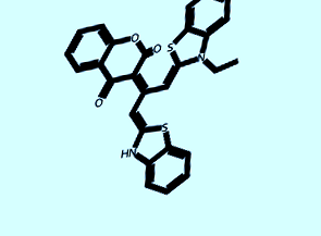 CCN1C(=CC(/C=C2/Nc3ccccc3S2)=C2\C(=O)Oc3ccccc3C2=O)Sc2ccccc21